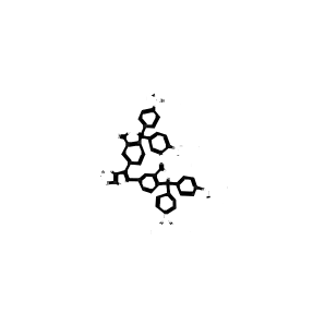 CN(C)c1ccc(C2(c3ccc(N(C)C)cc3)OC(=O)c3cc(-c4sc5nnsc5c4-c4ccc5c(c4)C(=O)OC5(c4ccc(N(C)C)cc4)c4ccc(N(C)C)cc4)ccc32)cc1